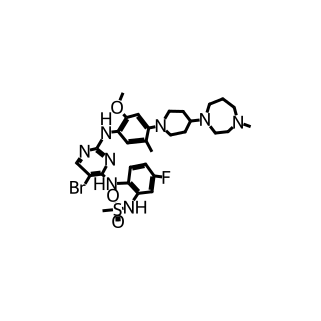 COc1cc(N2CCC(N3CCCN(C)CC3)CC2)c(C)cc1Nc1ncc(Br)c(Nc2ccc(F)cc2NS(C)(=O)=O)n1